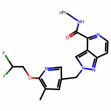 CCCNC(=O)c1nccc2nn(Cc3cnc(OCC(F)F)c(C)c3)cc12